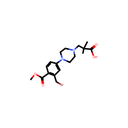 COC(=O)c1ccc(N2CCN(CC(C)(C)C(=O)O)CC2)cc1CBr